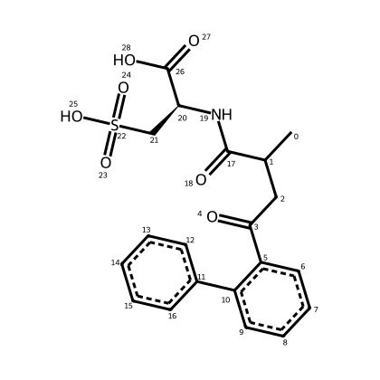 CC(CC(=O)c1ccccc1-c1ccccc1)C(=O)N[C@@H](CS(=O)(=O)O)C(=O)O